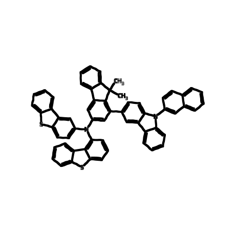 CC1(C)c2ccccc2-c2cc(N(c3ccc4sc5ccccc5c4c3)c3cccc4sc5ccccc5c34)cc(-c3ccc4c(c3)c3ccccc3n4-c3ccc4ccccc4c3)c21